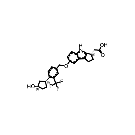 O=C(O)C[C@@H]1CCc2c1[nH]c1ccc(OCc3ccc([C@@H]4CC[C@@H](O)C4)c(C(F)(F)F)c3)cc21